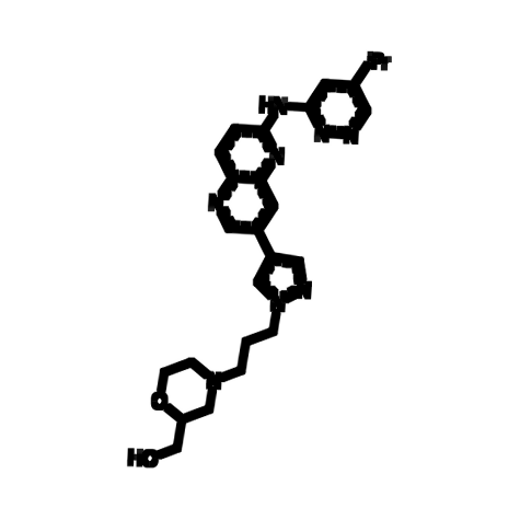 CC(C)c1cnnc(Nc2ccc3ncc(-c4cnn(CCCN5CCOC(CO)C5)c4)cc3n2)c1